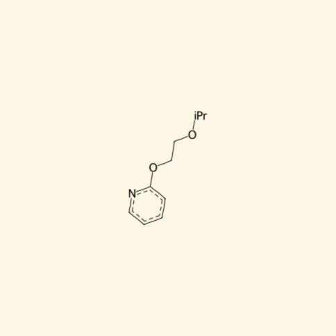 CC(C)OCCOc1ccccn1